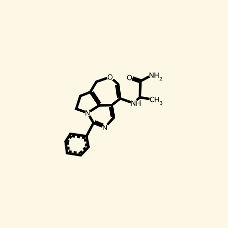 CC(NC1=COCC2=C3C1=CN=C(c1ccccc1)N3CC2)C(N)=O